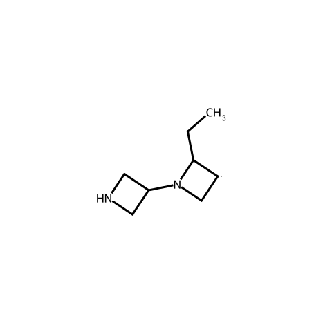 CCC1[CH]CN1C1CNC1